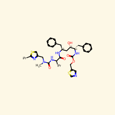 CC(C)c1nc(CN(C)C(=O)NC(C(=O)N[C@@H](Cc2ccccc2)C[C@H](O)[C@H](Cc2ccccc2)NC(=O)OCc2cncs2)C(C)C)cs1